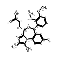 COc1cccc([C@@H]2O[C@@H](CCC(=O)O)c3nc(C)c(C)n3-c3ccc(Cl)cc32)c1OC